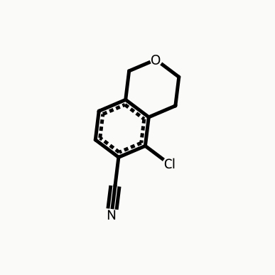 N#Cc1ccc2c(c1Cl)CCOC2